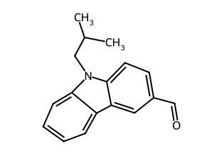 CC(C)Cn1c2ccccc2c2cc(C=O)ccc21